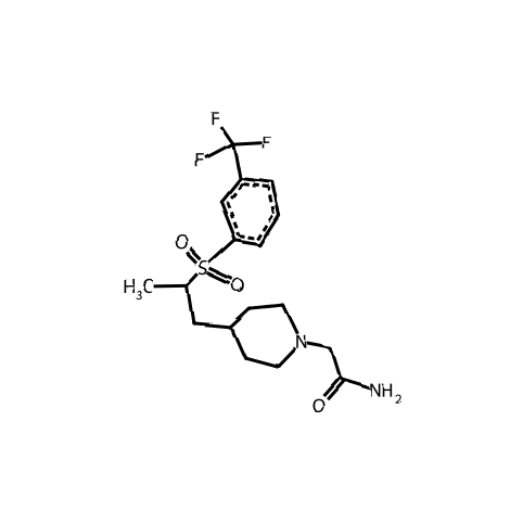 CC(CC1CCN(CC(N)=O)CC1)S(=O)(=O)c1cccc(C(F)(F)F)c1